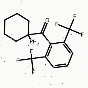 O=C(c1c(C(F)(F)F)cccc1C(F)(F)F)C1(P)CCCCC1